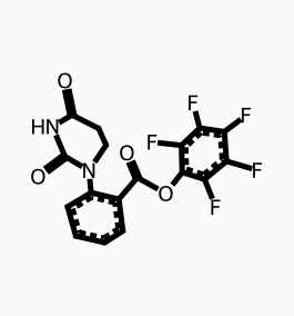 O=C1CCN(c2ccccc2C(=O)Oc2c(F)c(F)c(F)c(F)c2F)C(=O)N1